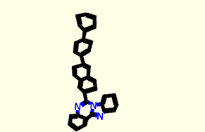 c1ccc(-c2ccc(-c3ccc4cc(-c5nc6ccccc6c6nc7ccccc7n56)ccc4c3)cc2)cc1